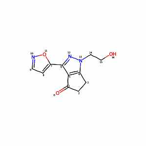 O=C1CCc2c1c(-c1ccno1)nn2CCO